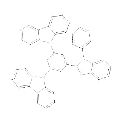 c1ccc(-n2c(-c3cc(-n4c5ccccc5c5ccccc54)cc(-n4c5ccccc5c5ccccc54)c3)nc3ccccc32)cc1